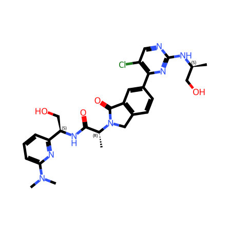 C[C@H](C(=O)N[C@H](CO)c1cccc(N(C)C)n1)N1Cc2ccc(-c3nc(N[C@@H](C)CO)ncc3Cl)cc2C1=O